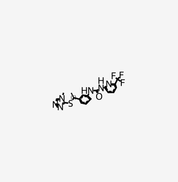 C[C@H](Sc1nncn1C)c1cccc(NC(=O)Nc2cccc(C(F)(F)F)n2)c1